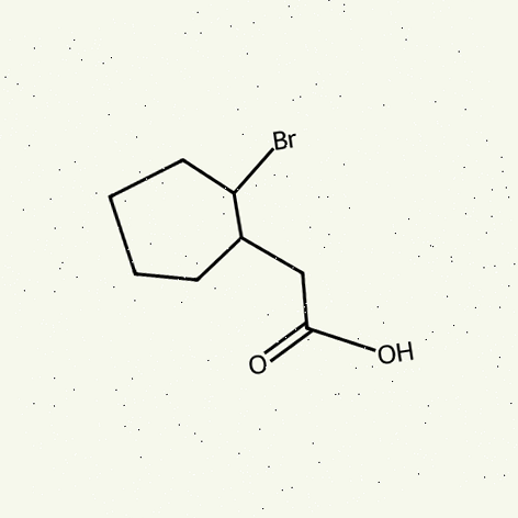 O=C(O)CC1CCCCC1Br